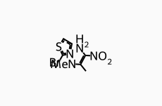 Brc1nccs1.CNC(C)=C(N)[N+](=O)[O-]